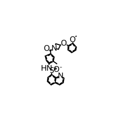 COc1ccccc1OC1CN(C(=O)c2ccc(N[S+]([O-])c3cccc4cccnc34)c(C)c2)C1